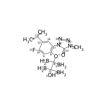 BC(B)(O)C(B)(B)Oc1cc(F)c(C(C)C)cc1-n1nnn(C)c1=O